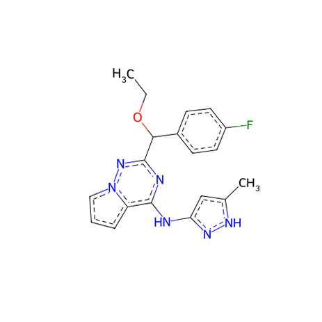 CCOC(c1ccc(F)cc1)c1nc(Nc2cc(C)[nH]n2)c2cccn2n1